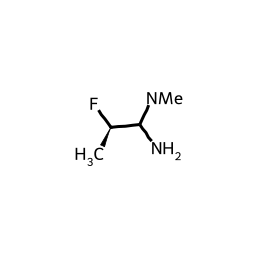 CNC(N)[C@@H](C)F